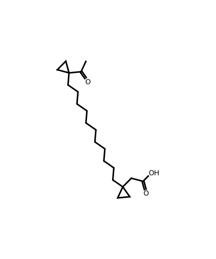 CC(=O)C1(CCCCCCCCCCCC2(CC(=O)O)CC2)CC1